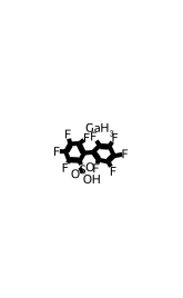 O=S(=O)(O)c1c(F)c(F)c(F)c(F)c1-c1c(F)c(F)c(F)c(F)c1F.[GaH3]